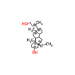 CC[C@H]1CC2C3CC[C@H]([C@H](C)CCO)[C@@]3(C)CCC2[C@@]2(C)CC[C@H](O)C[C@@H]12